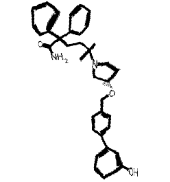 CC(C)(CCC(C(N)=O)(c1ccccc1)c1ccccc1)N1CC[C@H](OCc2ccc(-c3cccc(O)c3)cc2)C1